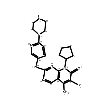 Cc1c(Br)c(=O)n(C2CCCC2)c2nc(Nc3ccc(N4CCNCC4)nc3)ncc12